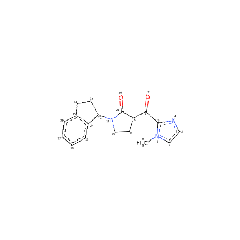 Cn1ccnc1C(=O)C1CCN(C2CCc3ccccc32)C1=O